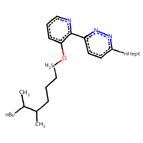 CCCCCCCc1ccc(-c2ncccc2O[SiH2]CCCC(C)C(C)CCCC)nn1